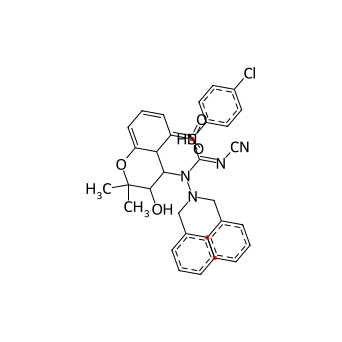 CC1(C)OC2=CC=CC(=S(=O)=O)C2C(N(C(=NC#N)Nc2ccc(Cl)cc2)N(Cc2ccccc2)Cc2ccccc2)C1O